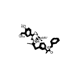 CC(C(=O)NCc1ccccc1)c1cccc(C[C@@H](C)NC[C@H](O[Si](C)(C)C(C)(C)C)c2ccc(O)c(CO)c2)c1